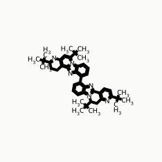 CC(C)(C)C1=Nc2cc(C(C)(C)C)n3c(nc4c(-c5cccc6c5nc5n6C(C(C)(C)C)Cc6nc(C(C)(C)C)ccc6-5)cccc43)c2CC1